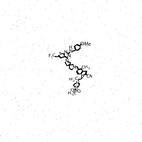 COc1ccc(CNc2nc(N3CCC4(CCN(Cc5ccc6c(cc(C#N)n6C[C@H](C)N6CCN(S(C)(=O)=O)CC6)c5C)C4)C3)c3cc(CC(F)(F)F)sc3n2)cc1